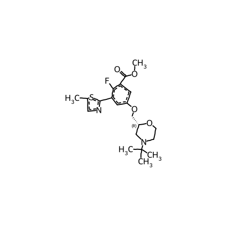 COC(=O)c1cc(OC[C@H]2CN(C(C)(C)C)CCO2)cc(-c2ncc(C)s2)c1F